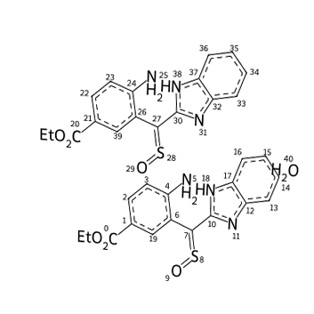 CCOC(=O)c1ccc(N)c(C(=S=O)c2nc3ccccc3[nH]2)c1.CCOC(=O)c1ccc(N)c(C(=S=O)c2nc3ccccc3[nH]2)c1.O